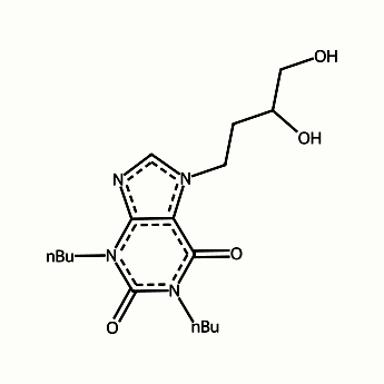 CCCCn1c(=O)c2c(ncn2CCC(O)CO)n(CCCC)c1=O